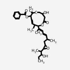 C=C1CCC(O)CC(=O)OC(/C(C)=C/C=C/C(C)CC2OC2C(C)C(O)CC)C(C)/C=C/C1OC(=O)c1ccccc1